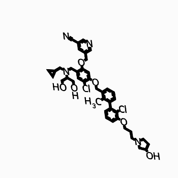 Cc1c(COc2cc(OCc3cncc(C#N)c3)c(CN(CC3CC3)C(CO)CO)cc2Cl)cccc1-c1cccc(OCCCN2CCC(O)C2)c1Cl